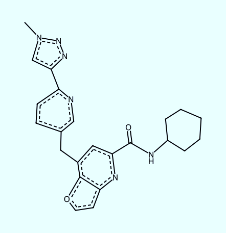 Cn1cc(-c2ccc(Cc3cc(C(=O)NC4CCCCC4)nc4ccoc34)cn2)nn1